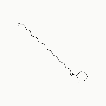 O=CCCCCCCCCCCCCCCOC1CCCCO1